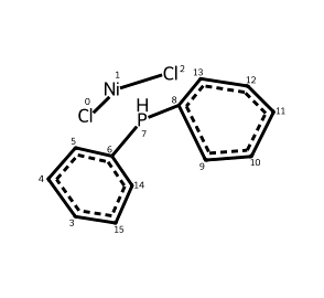 [Cl][Ni][Cl].c1ccc(Pc2ccccc2)cc1